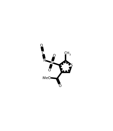 COC(=O)c1csc(C)c1S(=O)(=O)N=C=O